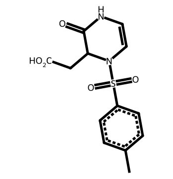 Cc1ccc(S(=O)(=O)N2C=CNC(=O)C2CC(=O)O)cc1